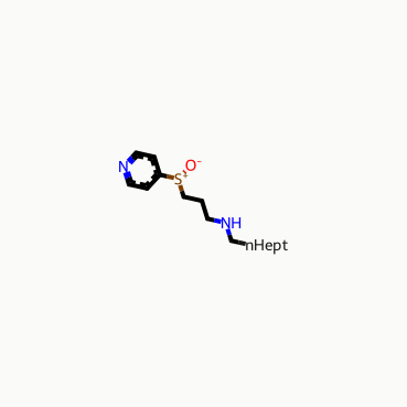 CCCCCCCCNCCC[S+]([O-])c1ccncc1